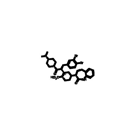 CN(C)C1CCN(C(=O)C(Cc2ccc(Br)c(Br)c2)[C@H]2CC(N3CCc4ccccc4NC3=O)CCN2C(=O)O)CC1